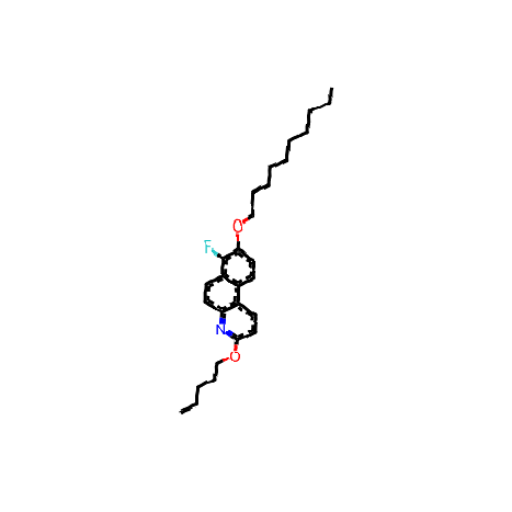 CCCCCCCCCCOc1ccc2c(ccc3nc(OCCCCC)ccc32)c1F